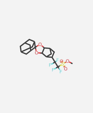 COS(=O)(=O)C(F)(F)C(F)(F)C1CC2CC1C1OC3(OC21)C1CC2CC(C1)CC3C2